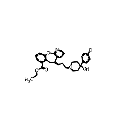 CCOC(=O)c1cccc2c1C/C(=C/CCN1CCC(O)(c3ccc(Cl)cc3)CC1)c1cccnc1O2